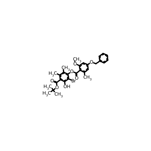 COc1cc(OCc2ccccc2)cc(C)c1C(=O)Oc1c(C)c(C)c(C(=O)OC(C)(C)C)c(O)c1Br